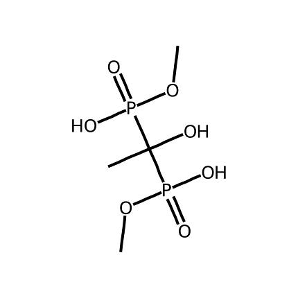 COP(=O)(O)C(C)(O)P(=O)(O)OC